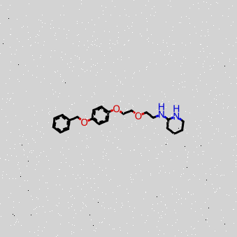 c1ccc(COc2ccc(OCCOCCNC3CCCCN3)cc2)cc1